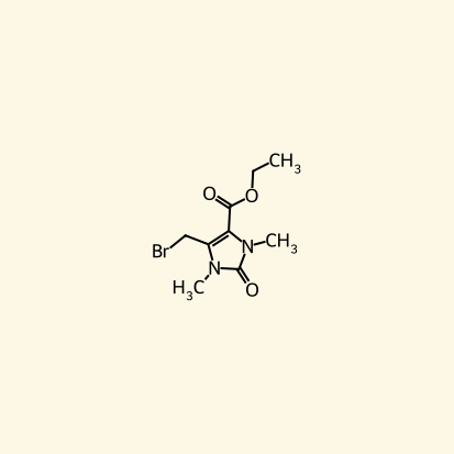 CCOC(=O)c1c(CBr)n(C)c(=O)n1C